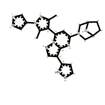 Cc1nn(-c2cnoc2)c(C)c1-c1cc(N2CC3CCC(C2)O3)nc2c(-c3ccn[nH]3)cnn12